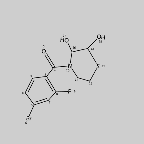 O=C(c1ccc(Br)cc1F)N1CCSC(O)C1O